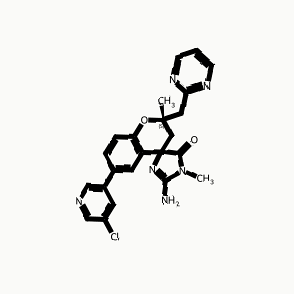 CN1C(=O)C2(C[C@@](C)(Cc3ncccn3)Oc3ccc(-c4cncc(Cl)c4)cc32)N=C1N